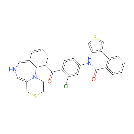 O=C(Nc1ccc(C(=O)C2CC=CC3=CNC=C4CSCCN4C32)c(Cl)c1)c1ccccc1-c1ccsc1